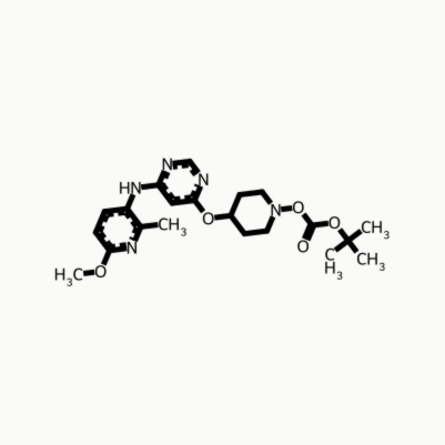 COc1ccc(Nc2cc(OC3CCN(OC(=O)OC(C)(C)C)CC3)ncn2)c(C)n1